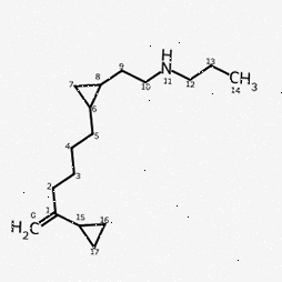 C=C(CCCCC1CC1CCNCCC)C1CC1